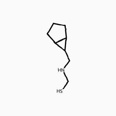 SCNCC1C2CCCC21